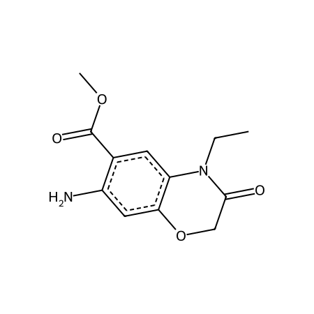 CCN1C(=O)COc2cc(N)c(C(=O)OC)cc21